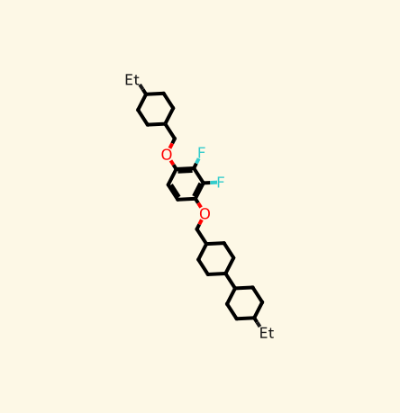 CCC1CCC(COc2ccc(OCC3CCC(C4CCC(CC)CC4)CC3)c(F)c2F)CC1